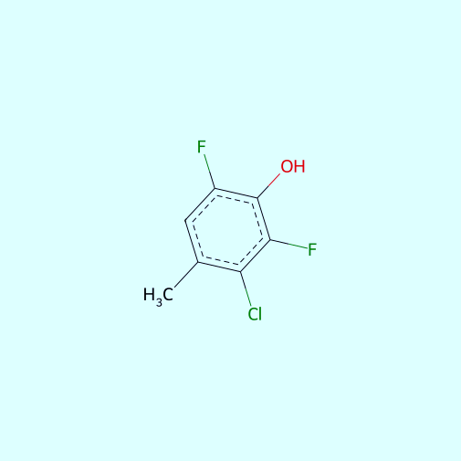 Cc1cc(F)c(O)c(F)c1Cl